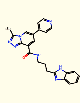 CC(C)(C)c1nnc2c(C(=O)NCCCc3nc4ccccc4[nH]3)cc(-c3ccncc3)cn12